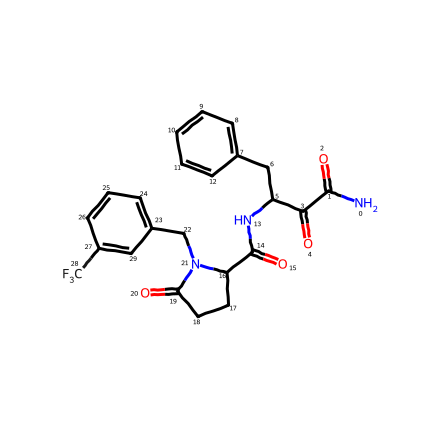 NC(=O)C(=O)C(Cc1ccccc1)NC(=O)C1CCC(=O)N1Cc1cccc(C(F)(F)F)c1